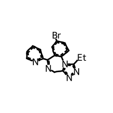 CCc1nnc2n1-c1ccc(Br)cc1C(c1ccccn1)=NC2